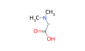 CN(C)[CH]C(=O)O